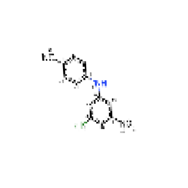 N#Cc1ccc(Nc2cc(Cl)cc([N+](=O)[O-])c2)cc1